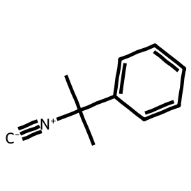 [C-]#[N+]C(C)(C)c1ccccc1